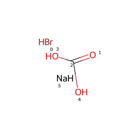 Br.O=C(O)O.[NaH]